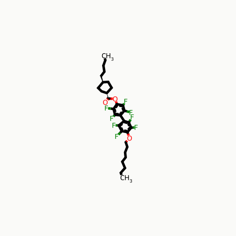 CCCCCCCCOc1c(F)c(F)c(-c2c(F)c(F)c(OC(=O)[C@H]3CC[C@H](CCCCC)CC3)c(F)c2F)c(F)c1F